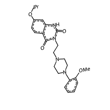 COc1ccccc1N1CCN(CCn2c(=O)[nH]c3cc(OC(C)C)ccc3c2=O)CC1